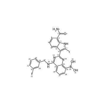 Cc1[nH]c2c(C(N)=O)cccc2c1-c1nc(NCc2cccc(F)c2)c2cccc(B(O)O)c2n1